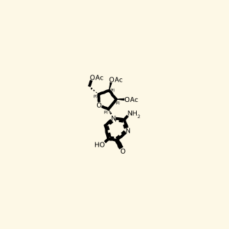 CC(=O)OC[C@H]1O[C@@H](n2cc(O)c(=O)nc2N)[C@H](OC(C)=O)[C@@H]1OC(C)=O